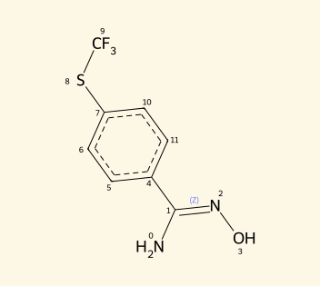 N/C(=N\O)c1ccc(SC(F)(F)F)cc1